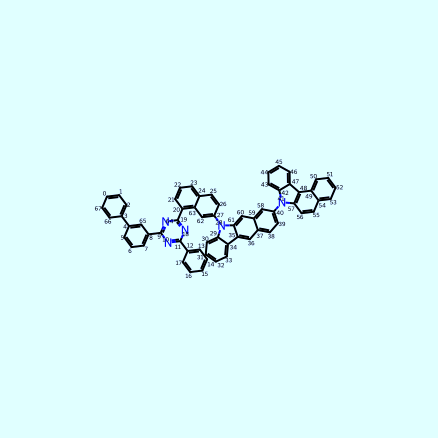 c1ccc(-c2cccc(-c3nc(-c4ccccc4)nc(-c4cccc5ccc(-n6c7ccccc7c7cc8ccc(-n9c%10ccccc%10c%10c%11ccccc%11ccc%109)cc8cc76)cc45)n3)c2)cc1